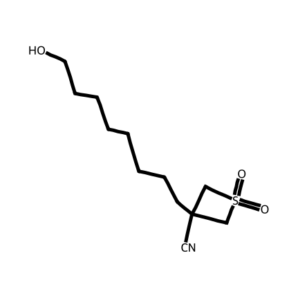 N#CC1(CCCCCCCCO)CS(=O)(=O)C1